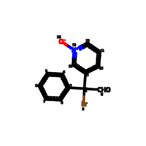 O=CC(Br)(c1ccccc1)c1ccc[n+]([O-])c1